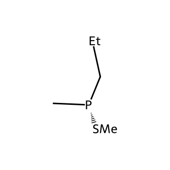 CCC[P@@](C)SC